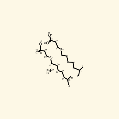 CC(C)CCCCCSCCC(=O)[O-].CC(C)CCCCCSCCC(=O)[O-].[Pd+2]